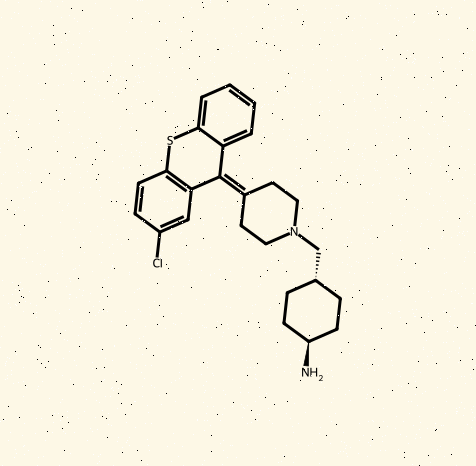 N[C@H]1CC[C@H](CN2CCC(=C3c4ccccc4Sc4ccc(Cl)cc43)CC2)CC1